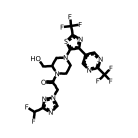 O=C(Cn1cnc(C(F)F)n1)N1CCN(c2sc(C(F)(F)F)nc2-c2cnc(C(F)(F)F)nc2)CC1CO